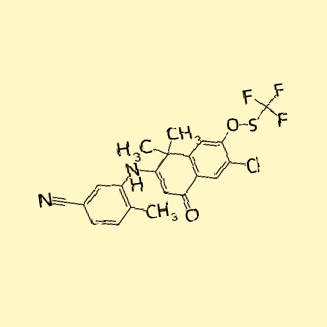 Cc1ccc(C#N)cc1NC1=CC(=O)c2cc(Cl)c(OSC(F)(F)F)cc2C1(C)C